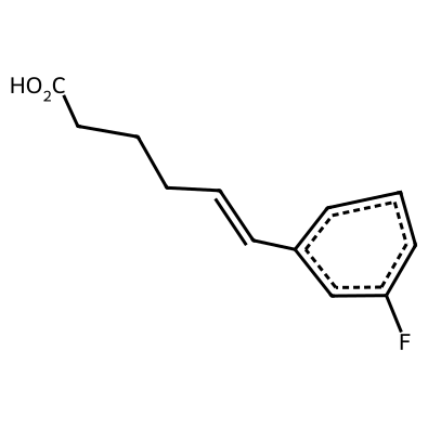 O=C(O)CCCC=Cc1cccc(F)c1